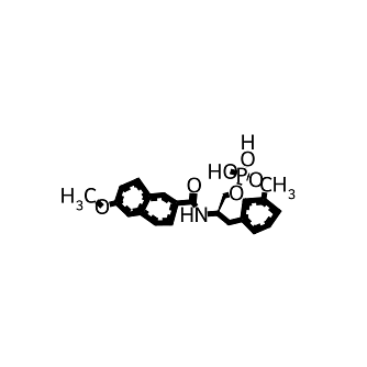 COc1ccc2cc(C(=O)N[C@@H](COP(=O)(O)O)Cc3cccc(C)c3)ccc2c1